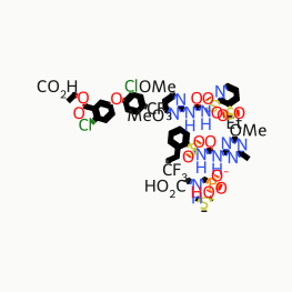 CCS(=O)(=O)c1cccnc1S(=O)(=O)NC(=O)Nc1nc(OC)cc(OC)n1.COc1nc(C)nc(NC(=O)NS(=O)(=O)c2ccccc2CCC(F)(F)F)n1.C[C@H](OC(=O)c1cc(Oc2ccc(C(F)(F)F)cc2Cl)ccc1Cl)C(=O)O.C[S+](C)C.O=C(O)CNCP(=O)([O-])O